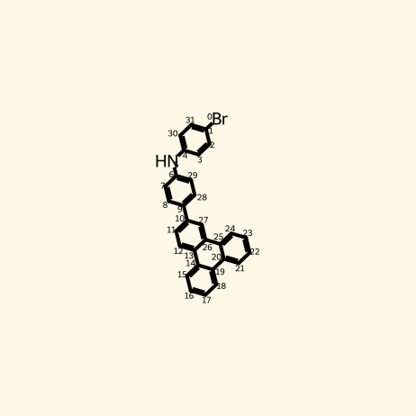 Brc1ccc(Nc2ccc(-c3ccc4c5ccccc5c5ccccc5c4c3)cc2)cc1